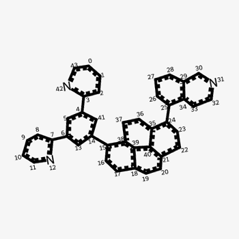 c1ccc(-c2cc(-c3ccccn3)cc(-c3ccc4ccc5ccc(-c6cccc7cnccc67)c6ccc3c4c56)c2)nc1